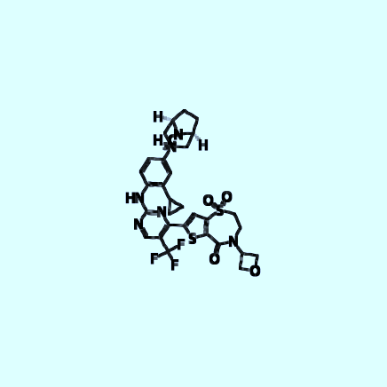 CN1[C@@H]2CC[C@H]1CN(c1ccc(Nc3ncc(C(F)(F)F)c(-c4cc5c(s4)C(=O)N(C4COC4)CCS5(=O)=O)n3)c(C3CC3)c1)C2